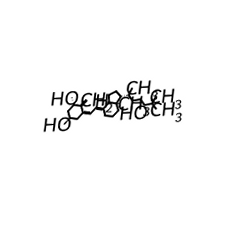 C=C1/C(=C\C=C2/CCC[C@]3(C)[C@@H](C(C)CCC(O)C(C)C)CC[C@@H]23)C[C@@H](O)C[C@@H]1O